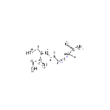 C/C(=C\C=C/NCOC(CO)[C@H](O)CO)C(N)=O